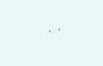 COC(=O)C(C)(NC(=O)C1CCCC(C)C1)C(C)C